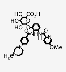 COc1ccc(C(=O)Nc2cccc(O[C@@H]3O[C@H](C(=O)O)[C@@H](O)[C@H](O)[C@H]3O)c2NC(=O)c2ccc(N3CCCN(C)CC3)cc2)nc1